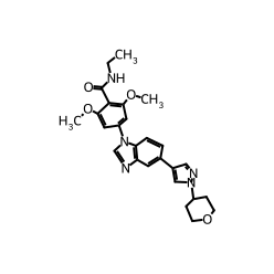 CCNC(=O)c1c(OC)cc(-n2cnc3cc(-c4cnn(C5CCOCC5)c4)ccc32)cc1OC